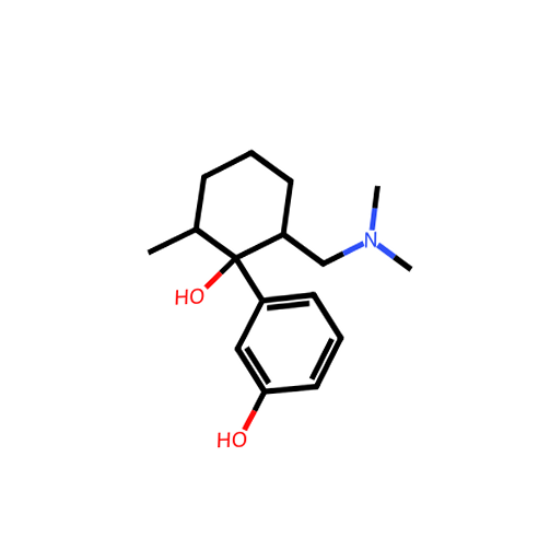 CC1CCCC(CN(C)C)C1(O)c1cccc(O)c1